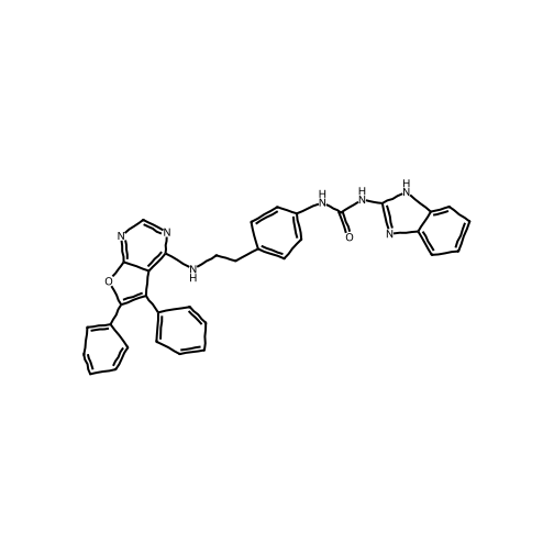 O=C(Nc1ccc(CCNc2ncnc3oc(-c4ccccc4)c(-c4ccccc4)c23)cc1)Nc1nc2ccccc2[nH]1